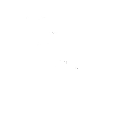 COc1cc(-c2oc3ccc(CC(=O)N4CCN(Cc5ccccc5)CC4)cc3c2SC)ccc1O